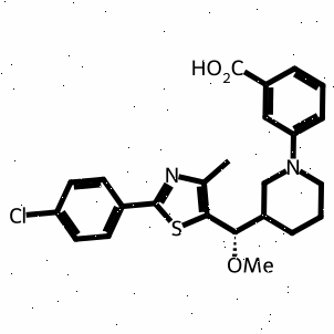 CO[C@H](c1sc(-c2ccc(Cl)cc2)nc1C)C1CCCN(c2cccc(C(=O)O)c2)C1